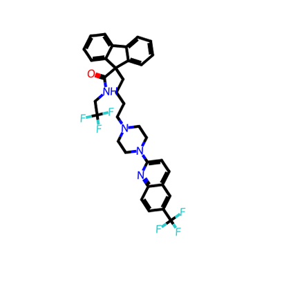 O=C(NCC(F)(F)F)C1(CCCCN2CCN(c3ccc4cc(C(F)(F)F)ccc4n3)CC2)c2ccccc2-c2ccccc21